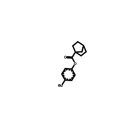 CCC(C)c1ccc(OC(=O)C23CCC(CC2)C3)cc1